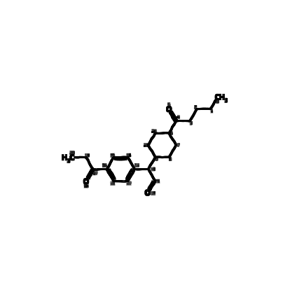 CCCCC(=O)C1CCC(C(C=O)c2ccc(C(=O)CC)cc2)CC1